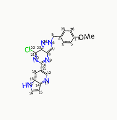 COc1ccc(Cn2cc3nc(-c4cnc5cc[nH]c5c4)nc(Cl)c3n2)cc1